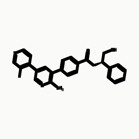 Cc1cnccc1-c1cnc(N)c(-c2ccc(C(=O)C[C@H](CO)c3ccccc3)cc2)c1